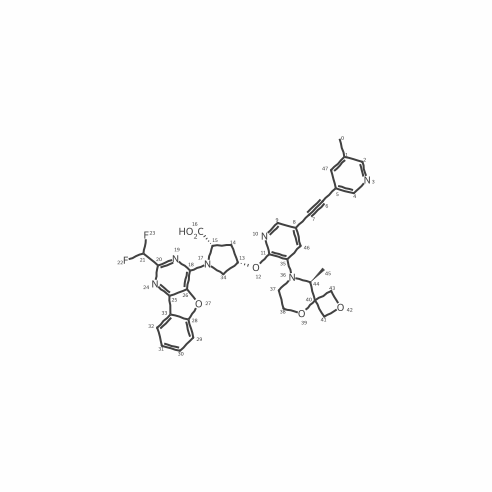 Cc1cncc(C#Cc2cnc(O[C@H]3C[C@@H](C(=O)O)N(c4nc(C(F)F)nc5c4oc4ccccc45)C3)c(N3CCOC4(COC4)[C@@H]3C)c2)c1